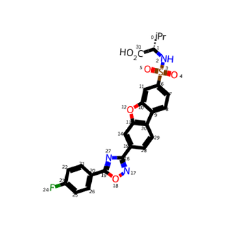 CC(C)[C@H](NS(=O)(=O)c1ccc2c(c1)oc1cc(-c3noc(-c4ccc(F)cc4)n3)ccc12)C(=O)O